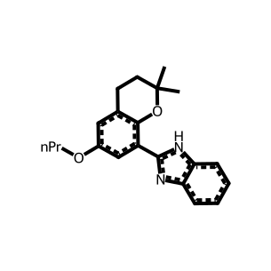 CCCOc1cc2c(c(-c3nc4ccccc4[nH]3)c1)OC(C)(C)CC2